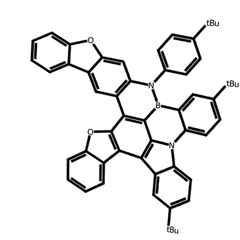 CC(C)(C)c1ccc(N2B3c4cc(C(C)(C)C)ccc4-n4c5ccc(C(C)(C)C)cc5c5c6c(oc7ccccc76)c(c3c54)-c3cc4c(cc32)oc2ccccc24)cc1